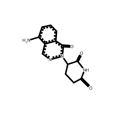 Nc1cccc2c(=O)n(C3CCC(=O)NC3=O)ncc12